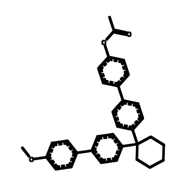 COc1ccc(-c2ccc(C3(c4ccc(-c5ccc(OC(C)=O)cc5)cc4)CCCCC3)cc2)cc1